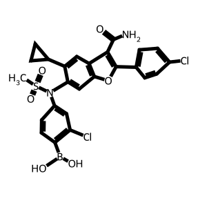 CS(=O)(=O)N(c1ccc(B(O)O)c(Cl)c1)c1cc2oc(-c3ccc(Cl)cc3)c(C(N)=O)c2cc1C1CC1